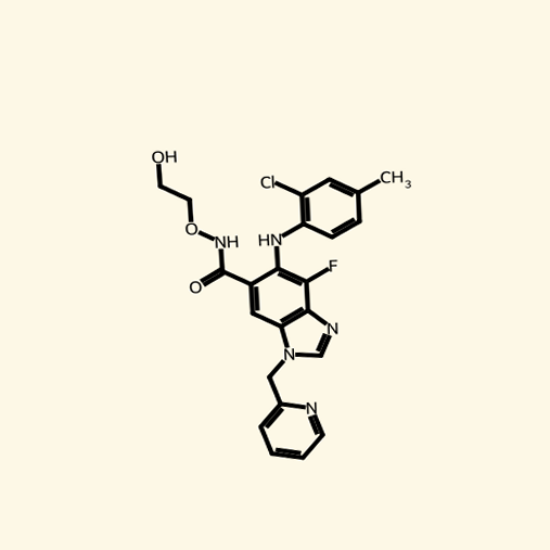 Cc1ccc(Nc2c(C(=O)NOCCO)cc3c(ncn3Cc3ccccn3)c2F)c(Cl)c1